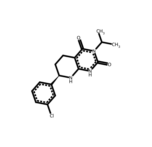 CC(C)n1c(=O)[nH]c2c(c1=O)CC[C@H](c1cccc(Cl)c1)N2